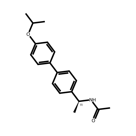 CC(=O)N[C@@H](C)c1ccc(-c2ccc(OC(C)C)cc2)cc1